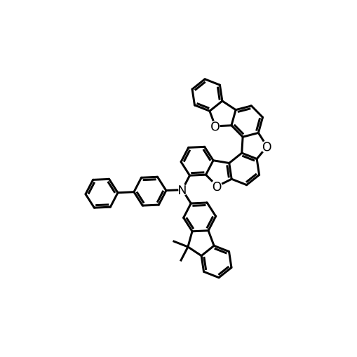 CC1(C)c2ccccc2-c2ccc(N(c3ccc(-c4ccccc4)cc3)c3cccc4c3oc3ccc5oc6ccc7c8ccccc8oc7c6c5c34)cc21